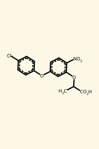 CC(Oc1cc(Oc2ccc(Cl)cc2)ccc1[N+](=O)[O-])C(=O)O